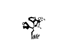 CNCC[C@@H](c1ccsc1)N1CC(C)(C)c2ncccc21